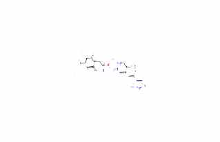 Bc1c(B)c(B)c(/C=C/C(=O)Nc2cc3cc(-c4cncn4C)cnc3cn2)c(B)c1B